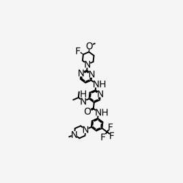 CO[C@H]1CCN(c2nccc(Nc3cc(NC(C)C)c(C(=O)Nc4cc(N5CCN(C)CC5)cc(C(F)(F)F)c4)cn3)n2)C[C@H]1F